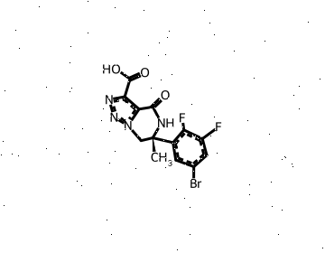 C[C@@]1(c2cc(Br)cc(F)c2F)Cn2nnc(C(=O)O)c2C(=O)N1